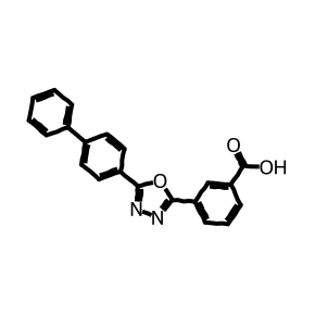 O=C(O)c1cccc(-c2nnc(-c3ccc(-c4ccccc4)cc3)o2)c1